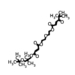 CC(C)(COC(=O)/C=C/C(=O)OCCOCCOC(=O)/C=C/C(=O)C(C)(C)C)COC(C)(C)C